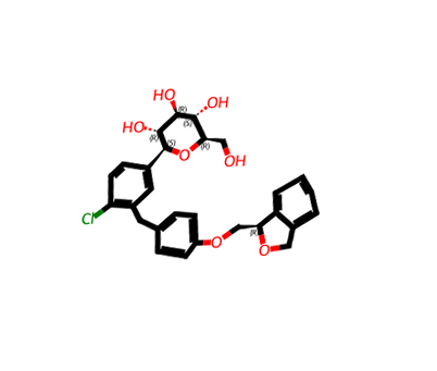 OC[C@H]1O[C@@H](c2ccc(Cl)c(Cc3ccc(OC[C@@H]4OCc5ccccc54)cc3)c2)[C@H](O)[C@@H](O)[C@@H]1O